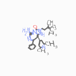 Cc1cc(-c2c(-c3ccccc3)nc(N)[n+]3c(=O)n(CCC(C)C)[nH]c23)cc(C)n1